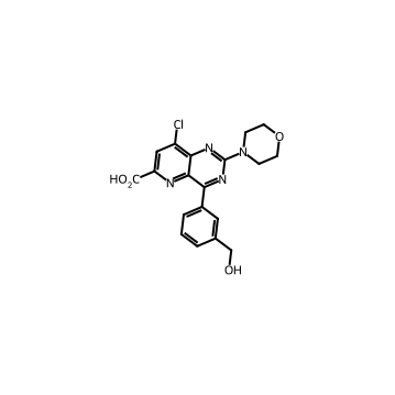 O=C(O)c1cc(Cl)c2nc(N3CCOCC3)nc(-c3cccc(CO)c3)c2n1